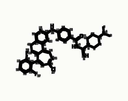 CN(C)C1CCN(C(=N)NC(=O)c2ccc(Nc3ncc4c(n3)C3=CN=C(Cl)C=C(c5c(F)cccc5F)C3=CC4)cc2)CC1